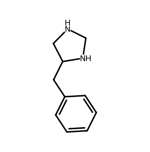 c1ccc(CC2CNCN2)cc1